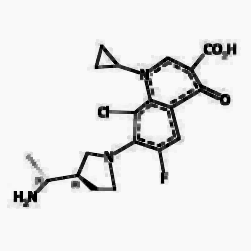 C[C@@H](N)[C@@H]1CCN(c2c(F)cc3c(=O)c(C(=O)O)cn(C4CC4)c3c2Cl)C1